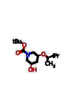 CC(C)[C@@H](C)O[C@@H]1C[C@H](O)CN(C(=O)OC(C)(C)C)C1